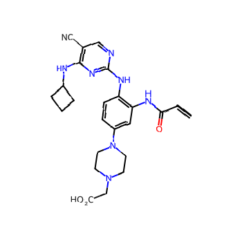 C=CC(=O)Nc1cc(N2CCN(CC(=O)O)CC2)ccc1Nc1ncc(C#N)c(NC2CCC2)n1